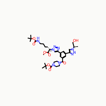 COC(=O)[C@H](CCCCNC(=O)OC(C)(C)C)n1cc(-c2cc(C(=O)N3CCN(C(=O)OC(C)(C)C)CC3)cc(-c3cn([C@H](C)CO)nn3)c2)nn1